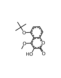 COc1c(O)c(=O)oc2cccc(OC(C)(C)C)c12